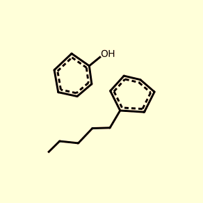 CCCCCc1ccccc1.Oc1ccccc1